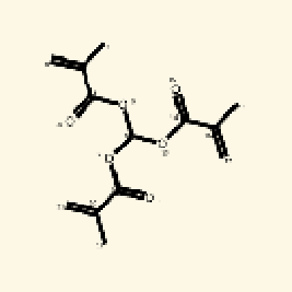 C=C(C)C(=O)OC(OC(=O)C(=C)C)OC(=O)C(=C)C